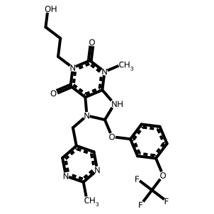 Cc1ncc(CN2c3c(n(C)c(=O)n(CCCO)c3=O)NC2Oc2cccc(OC(F)(F)F)c2)cn1